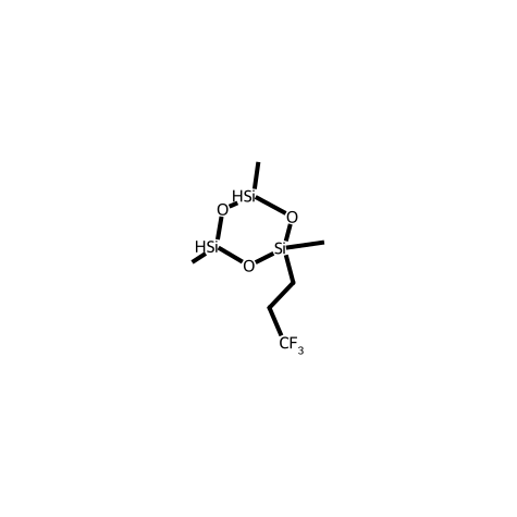 C[SiH]1O[SiH](C)O[Si](C)(CCC(F)(F)F)O1